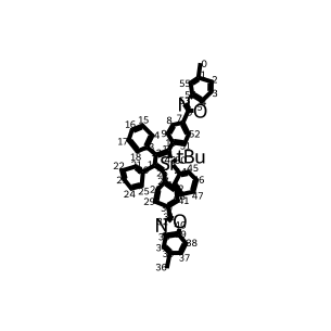 Cc1ccc2oc(-c3ccc(C4=C(c5ccccc5)C(c5ccccc5)=C(c5ccc(-c6nc7cc(C)ccc7o6)cc5)[Si]4(c4ccccc4)C(C)(C)C)cc3)nc2c1